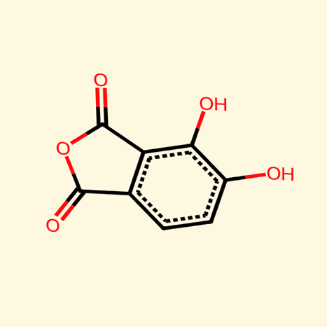 O=C1OC(=O)c2c1ccc(O)c2O